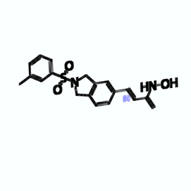 C=C(/C=C/c1ccc2c(c1)CN(S(=O)(=O)c1cccc(C)c1)C2)NO